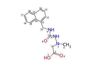 CN(CC(=O)O)NC(=O)NCc1cccc2ccccc12